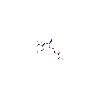 C=C/C(=C\C(=C/C)NCCC(=O)C(C)C)C(C)C